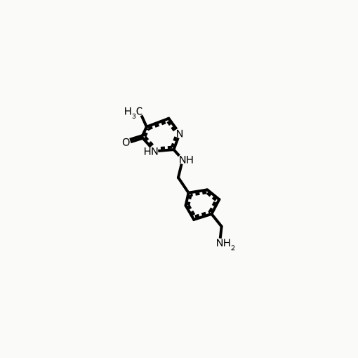 Cc1cnc(NCc2ccc(CN)cc2)[nH]c1=O